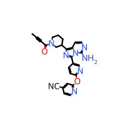 CC#CC(=O)N1CCCC(c2nc(-c3ccc(Oc4cc(C#N)ccn4)nc3)n3c(N)nccc23)C1